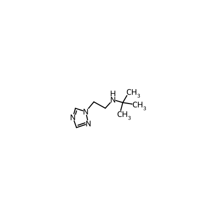 CC(C)(C)NCCn1cncn1